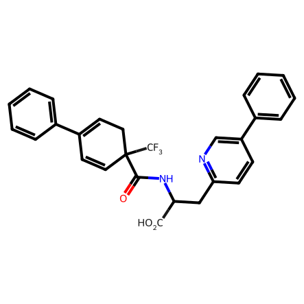 O=C(O)C(Cc1ccc(-c2ccccc2)cn1)NC(=O)C1(C(F)(F)F)C=CC(c2ccccc2)=CC1